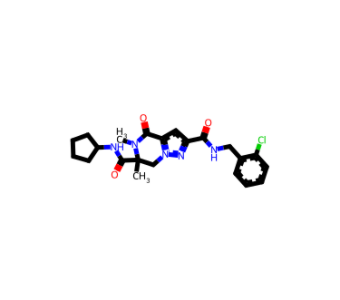 CN1C(=O)c2cc(C(=O)NCc3ccccc3Cl)nn2CC1(C)C(=O)NC1CCCC1